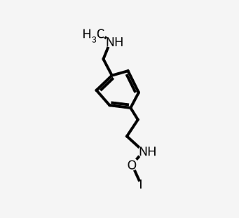 CNCc1ccc(CCNOI)cc1